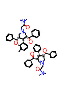 CN(C)C(=O)CN1C[C@H](C(=O)c2ccccc2)[C@@H](c2ccccc2)[C@H](C(=O)c2ccccc2)C1.Cc1cccc([C@@H]2[C@@H](C(=O)c3ccccc3)CN(CC(=O)N(C)C)C[C@H]2C(=O)c2ccccc2)c1C